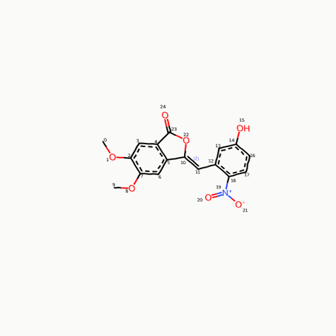 COc1cc2c(cc1OC)/C(=C/c1cc(O)ccc1[N+](=O)[O-])OC2=O